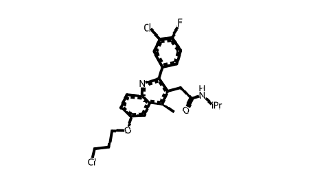 Cc1c(CC(=O)NC(C)C)c(-c2ccc(F)c(Cl)c2)nc2ccc(OCCCCl)cc12